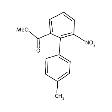 COC(=O)c1cccc([N+](=O)[O-])c1-c1ccc(C)cc1